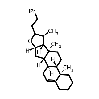 CC(C)CCC1O[C@H]2C[C@H]3[C@@H]4CC=C5CCCC[C@]5(C)[C@H]4CC[C@]3(C)[C@H]2[C@@H]1C